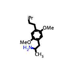 COc1cc(CC(C)N)c(OC)cc1CCC(C)C